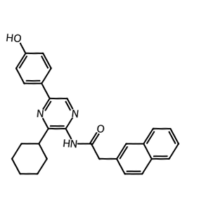 O=C(Cc1ccc2ccccc2c1)Nc1ncc(-c2ccc(O)cc2)nc1C1CCCCC1